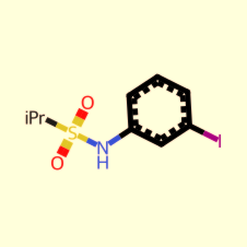 CC(C)S(=O)(=O)Nc1cccc(I)c1